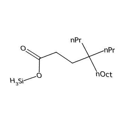 CCCCCCCCC(CCC)(CCC)CCC(=O)O[SiH3]